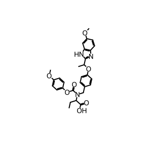 CCC(C(=O)O)N(Cc1ccc(OC(C)c2nc3ccc(OC)cc3[nH]2)cc1)C(=O)Oc1ccc(OC)cc1